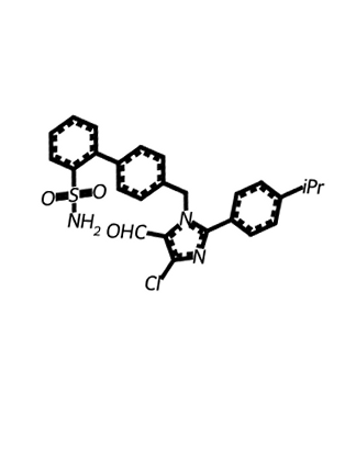 CC(C)c1ccc(-c2nc(Cl)c(C=O)n2Cc2ccc(-c3ccccc3S(N)(=O)=O)cc2)cc1